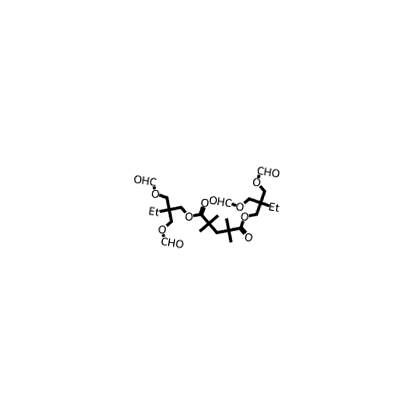 CCC(COC=O)(COC=O)COC(=O)C(C)(C)CC(C)(C)C(=O)OCC(CC)(COC=O)COC=O